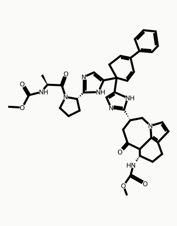 COC(=O)N[C@@H](C)C(=O)N1CCC[C@H]1c1ncc(C2(c3cnc([C@H]4CC(=O)C5c6c(ccn6C4)CC[C@@H]5NC(=O)OC)[nH]3)C=CC(c3ccccc3)=CC2)[nH]1